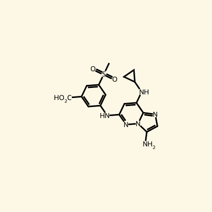 CS(=O)(=O)c1cc(Nc2cc(NC3CC3)c3ncc(N)n3n2)cc(C(=O)O)c1